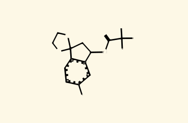 O=C(NC1CC2(SCCS2)c2ccc(F)cc21)C(F)(F)F